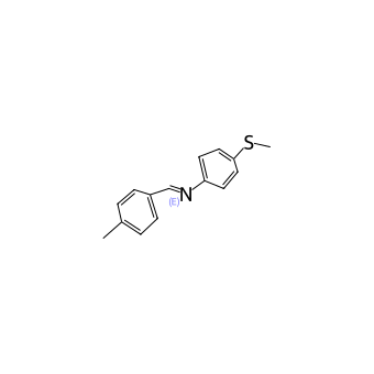 CSc1ccc(/N=C/c2ccc(C)cc2)cc1